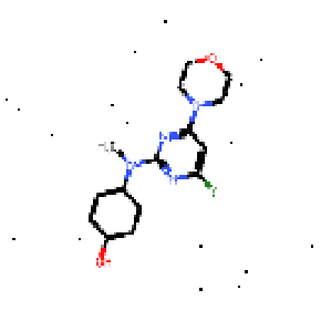 CN(c1nc(Cl)cc(N2CCOCC2)n1)C1CCC(O)CC1